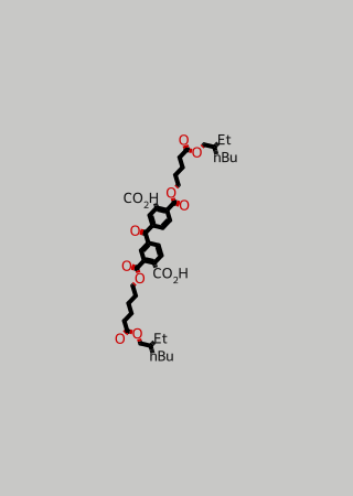 CCCCC(CC)COC(=O)CCCCCOC(=O)c1cc(C(=O)c2ccc(C(=O)OCCCCC(=O)OCC(CC)CCCC)c(C(=O)O)c2)ccc1C(=O)O